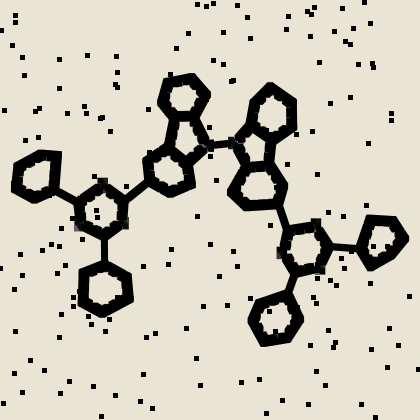 c1ccc(-c2nc(-c3ccccc3)nc(-c3ccc4c(c3)c3ccccc3n4-n3c4ccccc4c4cc(-c5nc(-c6ccccc6)nc(-c6ccccc6)n5)ccc43)n2)cc1